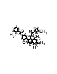 COc1cc(OC(=O)c2ccccc2C)ccc1-c1ccc2c(c1COC(=O)c1ccc(C)s1)C(C)=CC(C)(C)N2